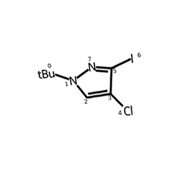 CC(C)(C)n1cc(Cl)c(I)n1